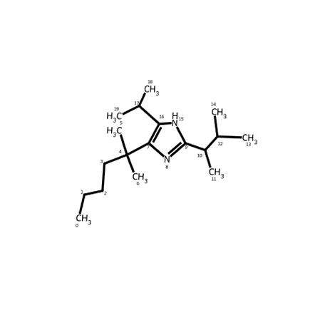 CCCCC(C)(C)c1nc(C(C)C(C)C)[nH]c1C(C)C